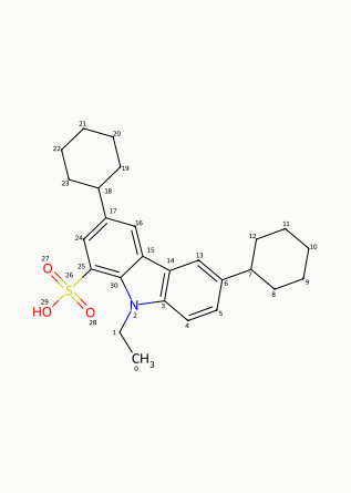 CCn1c2ccc(C3CCCCC3)cc2c2cc(C3CCCCC3)cc(S(=O)(=O)O)c21